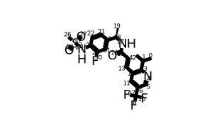 CC(C)c1ncc(C(F)(F)F)cc1C=CC(=O)N[C@H](C)c1ccc(NS(C)(=O)=O)c(F)c1